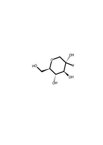 OC[C@H]1OC[C@@](O)(F)[C@@H](O)[C@@H]1O